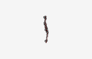 C=CC(=O)OCCCCCCCCCCCOc1ccc(C(=O)Oc2ccc(OCc3ccc(OCCCCCCOC(=O)C=C)cc3)cc2)cc1